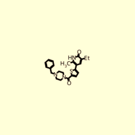 CCc1cc(-c2ccc(C(=O)N3CCN(Cc4ccccc4)CC3)s2)c(C)[nH]c1=O